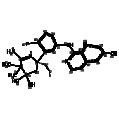 CC1(C)C(N)=N[C@@](CF)(c2cc(Nc3nccc4cc(C#N)cnc34)ccc2F)CS1(O)O